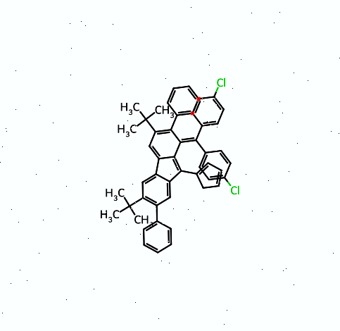 CC(C)(C)c1cc2c(cc1-c1ccccc1)C(C1=CC=CC1)=c1c-2cc(C(C)(C)C)c(-c2ccccc2)c1=C(c1ccc(Cl)cc1)c1ccc(Cl)cc1